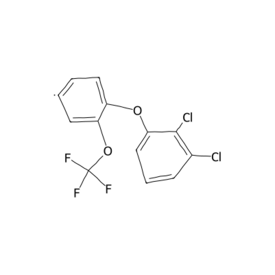 FC(F)(F)Oc1c[c]ccc1Oc1cccc(Cl)c1Cl